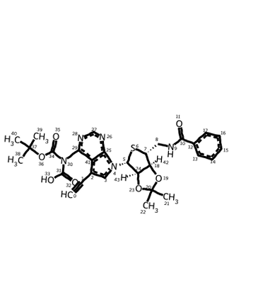 C#Cc1cn([C@@H]2S[C@H](CNC(=O)c3ccccc3)[C@H]3OC(C)(C)O[C@H]32)c2ncnc(N(C(=O)O)C(=O)OC(C)(C)C)c12